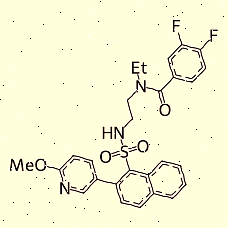 CCN(CCNS(=O)(=O)c1c(-c2ccc(OC)nc2)ccc2ccccc12)C(=O)c1ccc(F)c(F)c1